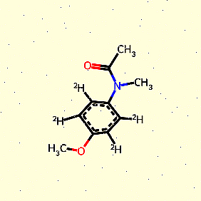 [2H]c1c([2H])c(N(C)C(C)=O)c([2H])c([2H])c1OC